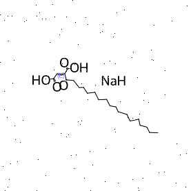 CCCCCCCCCCCCCCCCCC(=O)/C(=C\C(=O)O)C(=O)O.[NaH]